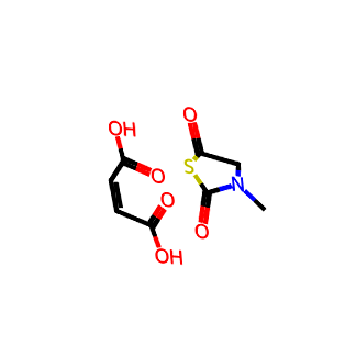 CN1CC(=O)SC1=O.O=C(O)/C=C\C(=O)O